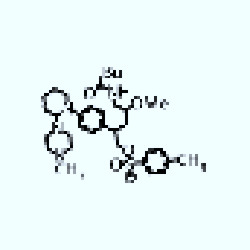 COC(CNC(=O)C(C)(C)C)CC(COS(=O)(=O)c1ccc(C)cc1)c1ccc(N2CCCCC2N2CCN(C)CC2)cc1